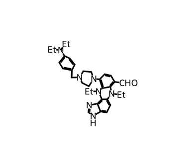 CCN(CC)c1ccc(CN2CCN(c3ccc(C=O)c4c3N(CC)c3c(ccc5[nH]cnc35)N4CC)CC2)cc1